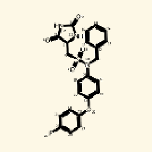 O=C1NC(=O)C(CS(=O)(=O)N(Cc2ccccc2)c2ccc(Oc3ccc(F)cc3)cc2)N1